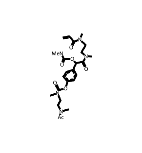 C=CC(=O)N(C)CCN(C)C(=O)C(OC(=O)NC)c1ccc(OC(=O)N(C)CCN(C)C(C)=O)cc1